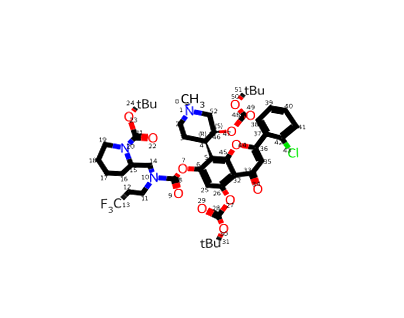 CN1CC[C@H](c2c(OC(=O)N(CCC(F)(F)F)CC3CCCCN3C(=O)OC(C)(C)C)cc(OC(=O)OC(C)(C)C)c3c(=O)cc(-c4ccccc4Cl)oc23)[C@H](OC(=O)OC(C)(C)C)C1